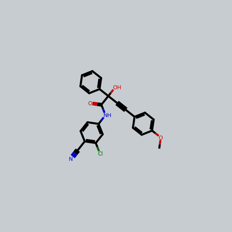 COc1ccc(C#CC(O)(C(=O)Nc2ccc(C#N)c(Cl)c2)c2ccccc2)cc1